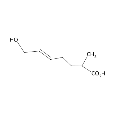 CC(CCC=CCO)C(=O)O